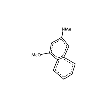 CNc1cc(OC)c2ccccc2c1